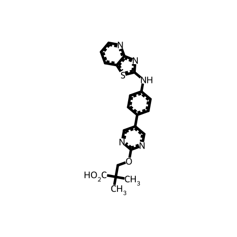 CC(C)(COc1ncc(-c2ccc(Nc3nc4ncccc4s3)cc2)cn1)C(=O)O